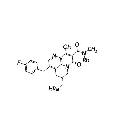 C[N]([Rb])C(=O)c1c(O)c2ncc(Cc3ccc(F)cc3)c3c2n(c1=O)CC([CH2][RaH])C3